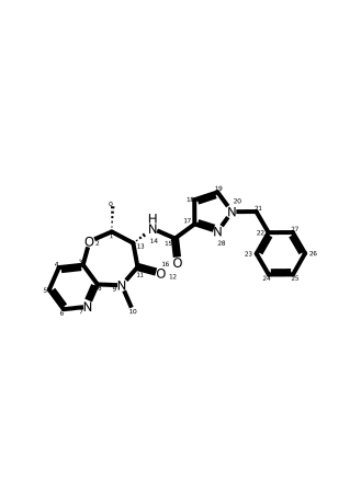 C[C@H]1Oc2cccnc2N(C)C(=O)[C@H]1NC(=O)c1ccn(Cc2ccccc2)n1